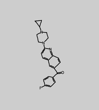 O=C(c1ccc(F)cc1)c1ccc2nc(N3CCN(C4CC4)CC3)ccc2c1